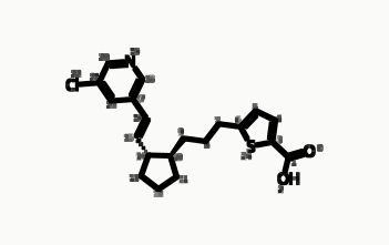 O=C(O)c1ccc(CCC[C@H]2CCC[C@@H]2/C=C/c2cncc(Cl)c2)s1